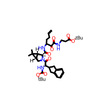 C=CCCC(NC(=O)[C@@H]1[C@@H]2[C@H](CN1C(=O)[C@@H](NC(=O)OC(C)(C)C)C1Cc3ccccc3C1)C2(C)C)C(=O)C(=O)NCCC(=O)OC(C)(C)C